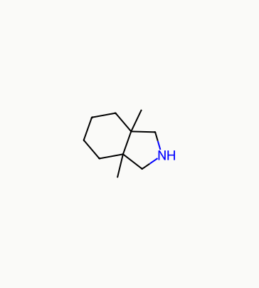 CC12CCCCC1(C)CNC2